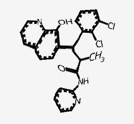 CC(C(=O)Nc1ccccn1)C(c1cccc(Cl)c1Cl)c1ccc2cccnc2c1O